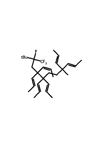 CC=CC(C)(C=CC)CCC(C=CC)(C=CC)C(C=CC)(C=CC)CC(F)(C(C)(C)C)C(F)(F)F